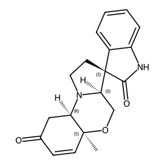 C[C@]12C=CC(=O)C[C@H]1N1CC[C@@]3(C(=O)Nc4ccccc43)[C@H]1CO2